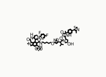 Cc1ncsc1-c1ccc(C2(C)NC(C3CC(O)CN3C(=O)C(c3cc(OCCCCCNC(=O)c4c(CS(C)(=O)=O)cc5cn(C)c6c5c4C4=CN(c5ncc(F)cc5F)CC=C4NC6=O)no3)C(C)C)=NC2=O)cc1